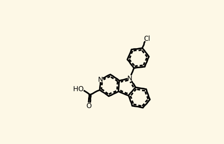 O=C(O)c1cc2c3ccccc3n(-c3ccc(Cl)cc3)c2cn1